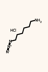 Cl.[N-]=[N+]=NCCCCCCN